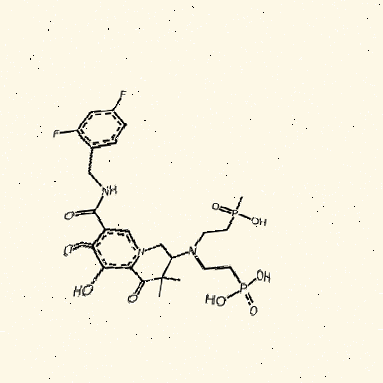 CC1(C)C(=O)c2c(O)c(=O)c(C(=O)NCc3ccc(F)cc3F)cn2CC1N(CCP(C)(=O)O)CCP(=O)(O)O